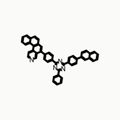 c1ccc(-c2nc(-c3ccc(-c4ccc5ccccc5c4)cc3)nc(-c3ccc(-c4cc5ccc6ccccc6c5c5ccncc45)cc3)n2)cc1